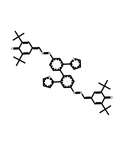 CC(C)(C)C1=CC(=C/N=N/c2ccc(-c3ccc(/N=N/C=C4C=C(C(C)(C)C)C(=O)C(C(C)(C)C)=C4)cc3-c3cccs3)c(-c3cccs3)c2)C=C(C(C)(C)C)C1=O